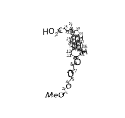 COCCOCCOCCO[C@H]1CC[C@@]2(C)[C@H](CC[C@@H]3[C@@H]2CC[C@]2(C)[C@@H]([C@H](C)CCC(=O)O)CC[C@@H]32)C1